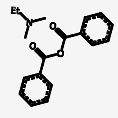 CCN(C)C.O=C(OC(=O)c1ccccc1)c1ccccc1